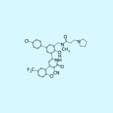 CN(Cc1cc(-c2ccc(Cl)cc2)cc(-c2cc(-c3cc(C(F)(F)F)ccc3Cl)c(C#N)c(=O)[nH]2)c1O)C(=O)CCN1CCCC1